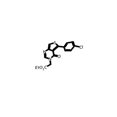 CCOC(=O)Cn1cnc2csc(-c3ccc(Cl)cc3)c2c1=O